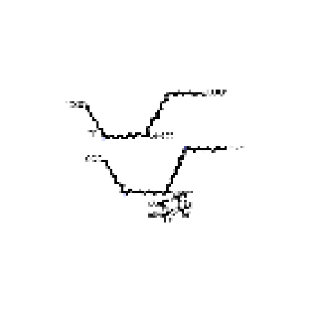 CCCCC(CC)COCC(CC)CCCC.CCCCC(CC)COCC(CC)CCCC.CCCCCCCC(CCCCCCCC/C=C\CCCCCCCC(=O)[O-])CCCCCCCC/C=C\CCCCCCCC(=O)[O-].CCCCCCCC(CCCCCCCC/C=C\CCCCCCCC(=O)[O-])CCCCCCCC/C=C\CCCCCCCC(=O)[O-].[Ti+4]